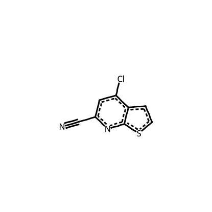 N#Cc1cc(Cl)c2ccsc2n1